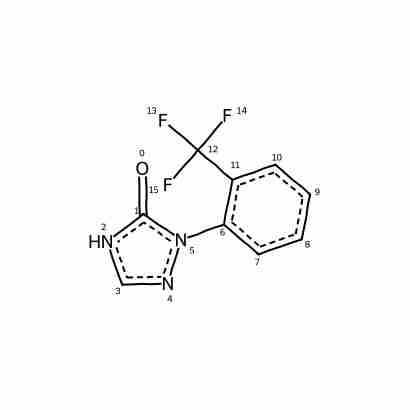 O=c1[nH]cnn1-c1ccccc1C(F)(F)F